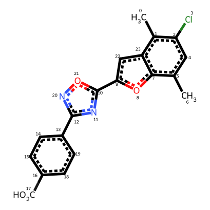 Cc1c(Cl)cc(C)c2oc(-c3nc(-c4ccc(C(=O)O)cc4)no3)cc12